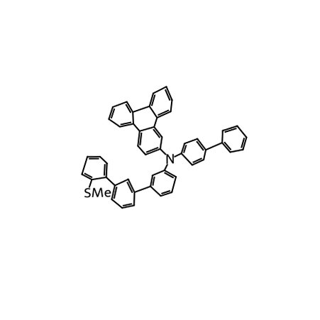 CSc1ccccc1-c1cccc(-c2cccc(N(c3ccc(-c4ccccc4)cc3)c3ccc4c5ccccc5c5ccccc5c4c3)c2)c1